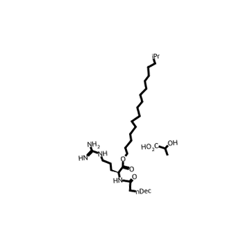 CC(O)C(=O)O.CCCCCCCCCCCC(=O)N[C@@H](CCCNC(=N)N)C(=O)OCCCCCCCCCCCCCCCC(C)C